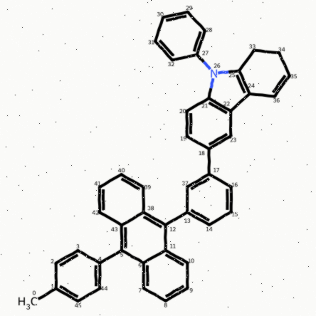 Cc1ccc(-c2c3ccccc3c(-c3cccc(-c4ccc5c(c4)c4c(n5-c5ccccc5)CCC=C4)c3)c3ccccc23)cc1